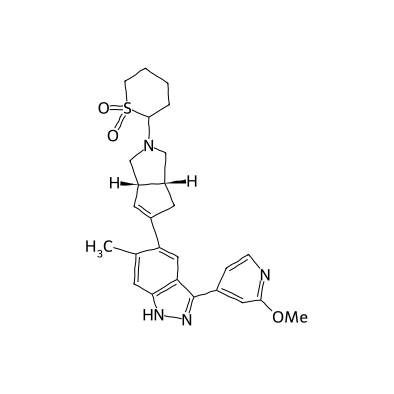 COc1cc(-c2n[nH]c3cc(C)c(C4=C[C@@H]5CN(C6CCCCS6(=O)=O)C[C@@H]5C4)cc23)ccn1